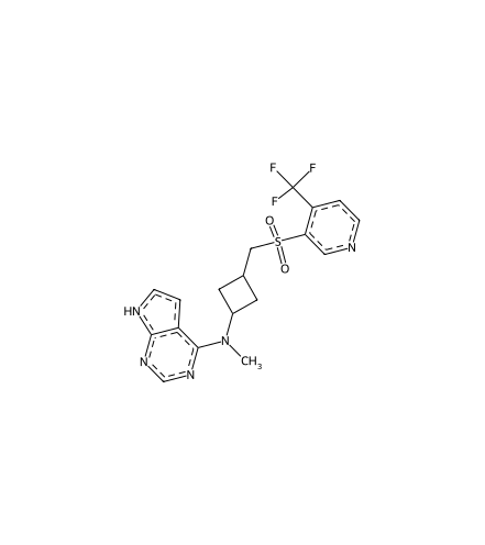 CN(c1ncnc2[nH]ccc12)C1CC(CS(=O)(=O)c2cnccc2C(F)(F)F)C1